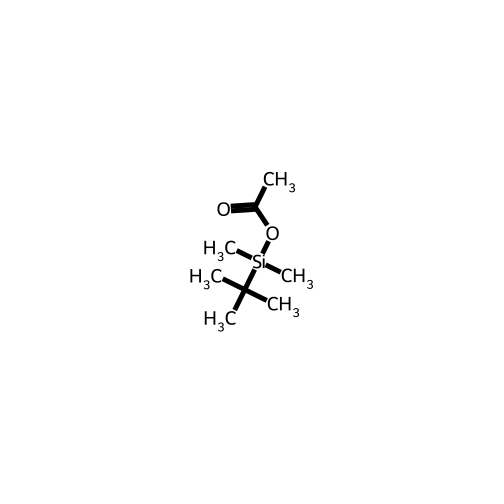 CC(=O)O[Si](C)(C)C(C)(C)C